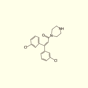 O=C(C=C(c1cccc(Cl)c1)c1cccc(Cl)c1)N1CCNCC1